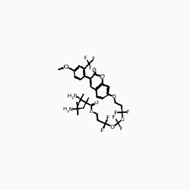 COc1ccc(-c2cc3ccc(OCCC(F)(F)OC(F)(F)OC(F)(F)CCOC(=O)C(C)(CC(C)(C)N)C(C)(C)N)cc3oc2=O)c(C(F)(F)F)c1